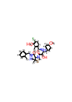 COc1ccc(C[C@H](NCc2ccc(F)c(O)c2C)[C@H](O)C(=O)N2CSC(C)(C)C2C(=O)NCc2ccccc2C)cc1